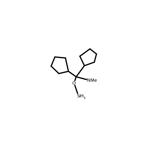 CNC(O[SiH3])(C1CCCC1)C1CCCC1